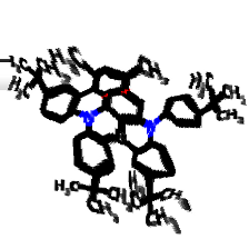 Cc1ccc(-c2cc(C(C)(C)C)ccc2N2c3ccc(C(C)(C)C)cc3B3c4cc(C(C)(C)C)ccc4N(c4ccc(C(C)(C)C)cc4)c4cccc2c43)c(C)c1